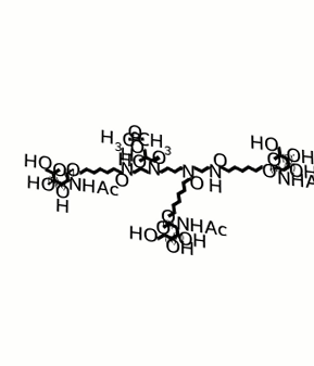 CC(=O)NC1[C@H](OCCCCCCC(=O)NCCCN(CCCCN(CCCNC(=O)CCCCCCO[C@@H]2OC(CO)[C@H](O)[C@H](O)C2NC(C)=O)C(=O)C(O)COP(C)(C)=O)C(=O)CCCCCCO[C@@H]2OC(CO)[C@H](O)[C@H](O)C2NC(C)=O)OC(CO)[C@H](O)[C@@H]1O